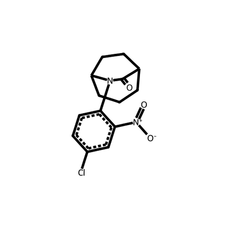 O=C1C2CCCC(CC2)N1c1ccc(Cl)cc1[N+](=O)[O-]